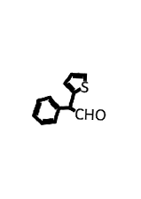 O=CC(c1ccccc1)c1cccs1